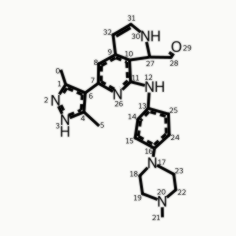 Cc1n[nH]c(C)c1-c1cc2c(c(Nc3ccc(N4CCN(C)CC4)cc3)n1)C(C=O)NC=C2